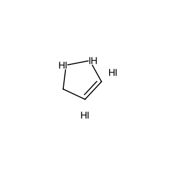 C1=C[IH][IH]C1.I.I